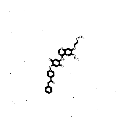 COCCOc1cc2ncnc(NC3=CC(=O)C(Oc4ccc(C(=O)Cc5ccccc5)cc4)=CC3=O)c2cc1OC